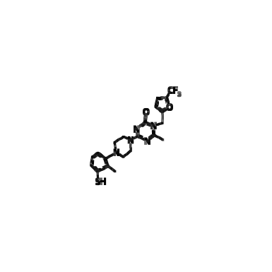 Cc1c(S)cccc1N1CCN(c2nc(C)n(Cc3ccc(C(F)(F)F)o3)c(=O)n2)CC1